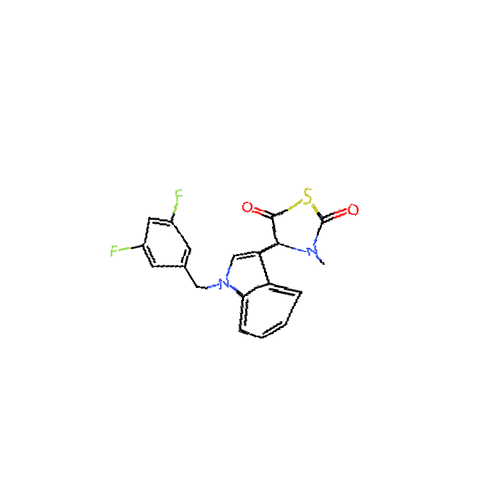 CN1C(=O)SC(=O)C1c1cn(Cc2cc(F)cc(F)c2)c2ccccc12